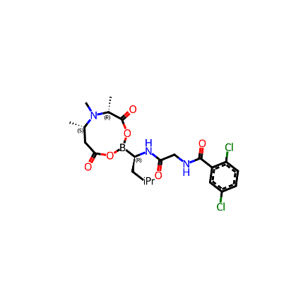 CC(C)C[C@H](NC(=O)CNC(=O)c1cc(Cl)ccc1Cl)B1OC(=O)C[C@H](C)N(C)[C@H](C)C(=O)O1